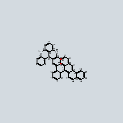 c1ccc2c(c1)Oc1cccc3c1B2c1cc(-c2ccccc2-c2c4ccccc4cc4c2ccc2ccccc24)ccc1O3